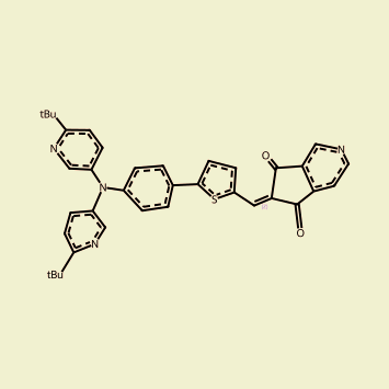 CC(C)(C)c1ccc(N(c2ccc(-c3ccc(/C=C4/C(=O)c5ccncc5C4=O)s3)cc2)c2ccc(C(C)(C)C)nc2)cn1